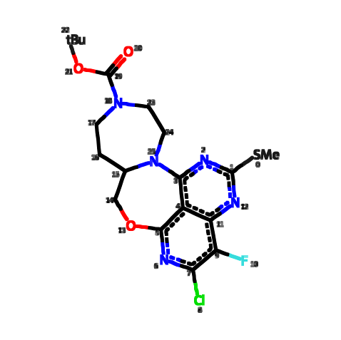 CSc1nc2c3c(nc(Cl)c(F)c3n1)OCC1CCN(C(=O)OC(C)(C)C)CCN21